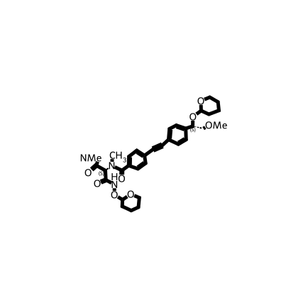 CNC(=O)[C@@H](C(=O)NOC1CCCCO1)N(C)C(=O)c1ccc(C#Cc2ccc([C@@H](COC)OC3CCCCO3)cc2)cc1